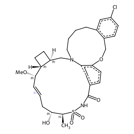 CO[C@H]1/C=C/C[C@@H](O)[C@H](C)S(=O)(=O)NC(=O)c2ccc3c(c2)N(CCCCc2cc(Cl)ccc2CO3)C[C@@H]2CC[C@H]21